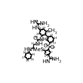 CSc1sc(C(=N)N)cc1S(=O)(=O)c1cccc(-c2c(C)cc(NC(=N)N)cc2NC(=O)NCCNc2ccccc2)c1